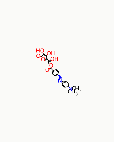 CN(C)c1ccc(N=Nc2ccc(C(=O)OC[C@@H](O)[C@H]3OC(=O)C(O)=C3O)cc2)cc1